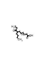 BOC(=O)C(CCCC)CCCNCC(=O)O